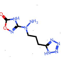 NN(CCCc1nnn[nH]1)c1noc(=O)[nH]1